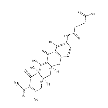 NC(=O)C1=C(O)C[C@@H]2C[C@@H]3Cc4ccc(NC(=O)CCC(=O)O)c(O)c4C(=O)C3=C(O)[C@]2(O)C1=O